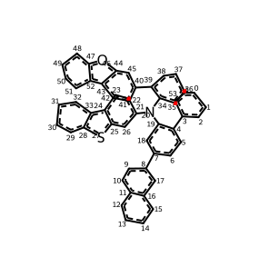 c1ccc(-c2ccc(-c3ccc4ccccc4c3)cc2N(c2ccc3c(c2)sc2ccccc23)c2ccccc2-c2ccc3c(c2)oc2ccccc23)cc1